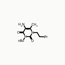 CCCCn1c(=O)c(N)c(C)n(CCC(C)C)c1=O